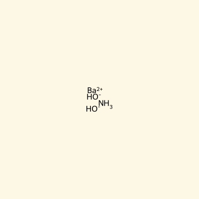 N.[Ba+2].[OH-].[OH-]